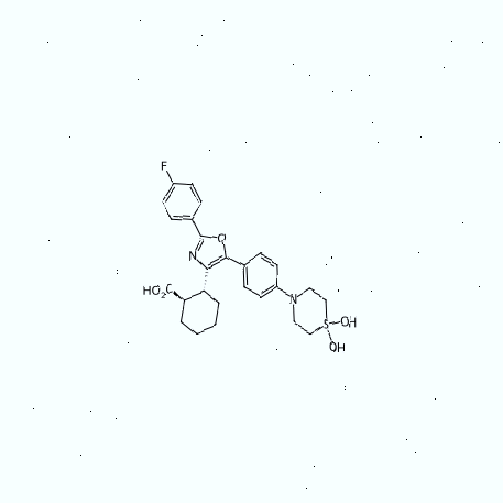 O=C(O)[C@@H]1CCCC[C@H]1c1nc(-c2ccc(F)cc2)oc1-c1ccc(N2CCS(O)(O)CC2)cc1